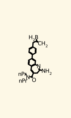 BC(=C)Cc1ccc(-c2ccc3c(c2)N=C(N)CC(C(=O)N(CCC)CCC)=C3)cc1